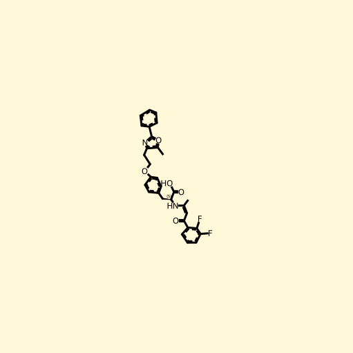 CC(=CC(=O)c1cccc(F)c1F)N[C@@H](Cc1ccc(OCCc2nc(-c3ccccc3)oc2C)cc1)C(=O)O